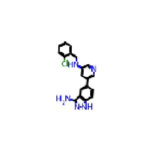 Nc1n[nH]c2ccc(-c3cncc(NCc4ccccc4Cl)c3)cc12